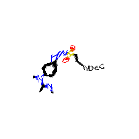 CCCCCCCCCCCCS(=O)(=O)Nc1ccc(N(C)C(C)=NC)cc1